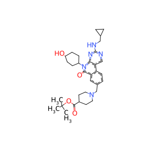 CC(C)(C)OC(=O)C1CCN(Cc2ccc3c(c2)c(=O)n(C2CCC(O)CC2)c2nc(NCC4CC4)ncc32)CC1